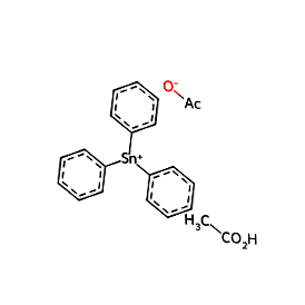 CC(=O)O.CC(=O)[O-].c1cc[c]([Sn+]([c]2ccccc2)[c]2ccccc2)cc1